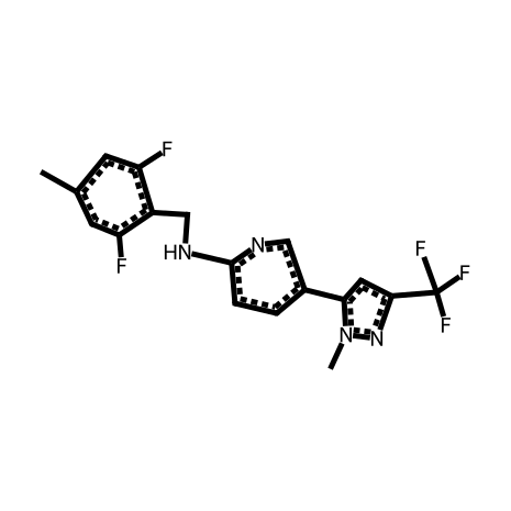 Cc1cc(F)c(CNc2ccc(-c3cc(C(F)(F)F)nn3C)cn2)c(F)c1